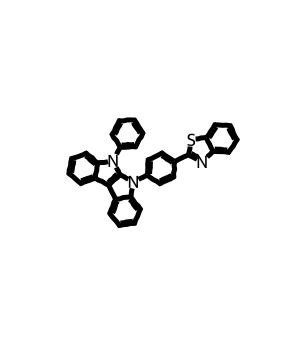 c1ccc(-n2c3ccccc3c3c4ccccc4n(-c4ccc(-c5nc6ccccc6s5)cc4)c32)cc1